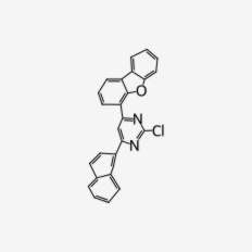 Clc1nc(-c2ccc3ccccc3c2)cc(-c2cccc3c2oc2ccccc23)n1